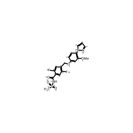 COc1cc(OCc2cc(F)c(C(=O)NS(C)(=O)=O)cc2F)ccc1-n1cccn1